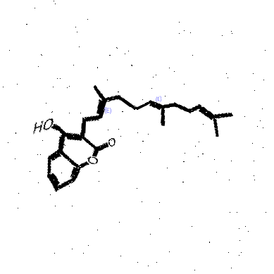 CC(C)=CCC/C(C)=C/CC/C(C)=C/Cc1c(O)c2ccccc2oc1=O